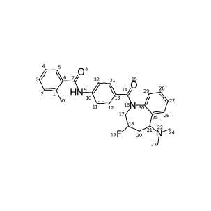 Cc1ccccc1C(=O)Nc1ccc(C(=O)N2CC(F)CC(N(C)C)c3ccccc32)cc1